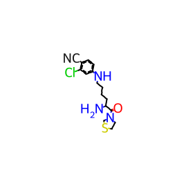 N#Cc1ccc(NCCCCC(N)C(=O)N2CCSC2)cc1Cl